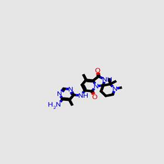 Cc1cc(Nc2ncnc(N)c2C)c(=O)n2c1C(=O)NC21CCCN(C)C1(C)C